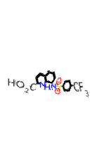 O=C(O)c1ccc2cccc(NS(=O)(=O)c3ccc(C(F)(F)F)cc3)c2n1